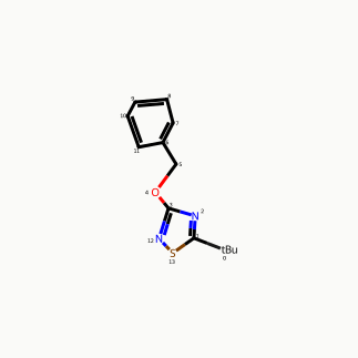 CC(C)(C)c1nc(OCc2ccccc2)ns1